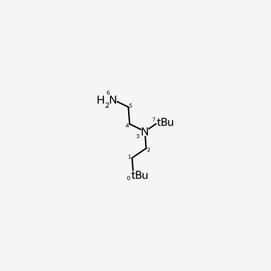 CC(C)(C)CCN(CCN)C(C)(C)C